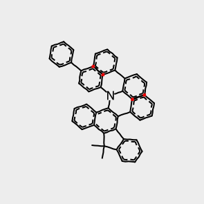 CC1(C)c2ccccc2-c2c(-c3ccccc3)c(N(c3ccc(-c4ccccc4)cc3)c3ccccc3-c3ccccc3)c3ccccc3c21